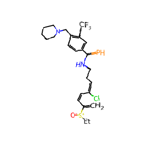 C=C(/C=C\C(Cl)=C/CCNC(=P)c1ccc(CN2CCCCC2)c(C(F)(F)F)c1)[S+]([O-])CC